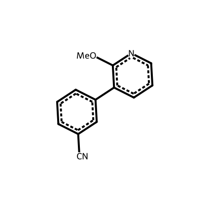 COc1ncccc1-c1cccc(C#N)c1